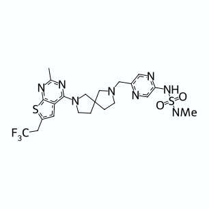 CNS(=O)(=O)Nc1cnc(CN2CCC3(CCN(c4nc(C)nc5sc(CC(F)(F)F)cc45)C3)C2)cn1